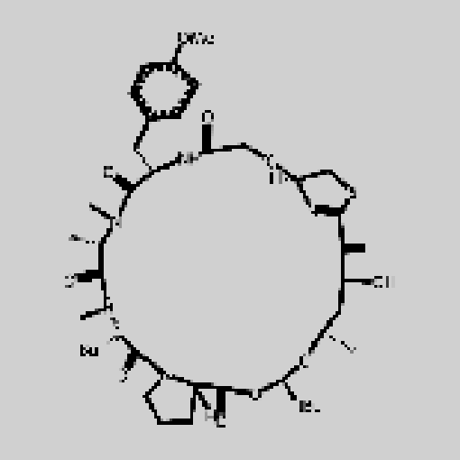 C=C1C2=N[C@@H](CCC(=O)N[C@@H](Cc3ccc(OC)cc3)C(=O)N(C)[C@@H](C)C(=O)N(C)[C@@H]([C@@H](C)CC)C(=O)N3CCC[C@H]3C(=O)O[C@H](C(C)(C)C)C[C@@H](C)C[C@@H]1O)CS2